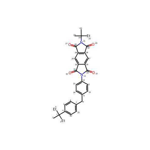 CCC(C)(CC)c1ccc(Cc2ccc(-n3c(=O)c4cc5c(=O)n(C(C)(C)CC)c(=O)c5cc4c3=O)cc2)cc1